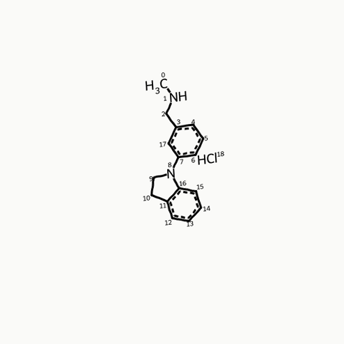 CNCc1cccc(N2CCc3ccccc32)c1.Cl